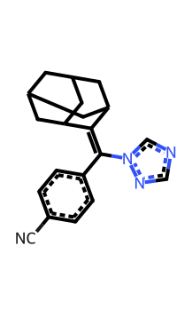 N#Cc1ccc(C(=C2C3CC4CC(C3)CC2C4)n2cncn2)cc1